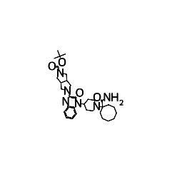 CC(C)(C)OC(=O)N1CC2CN(c3nc4ccccc4n(C4CCN(C5(C(N)=O)CCCCCCC5)CC4)c3=O)CC2C1